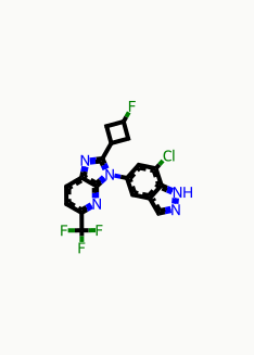 FC1CC(c2nc3ccc(C(F)(F)F)nc3n2-c2cc(Cl)c3[nH]ncc3c2)C1